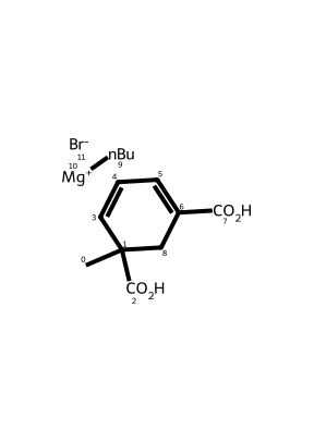 CC1(C(=O)O)C=CC=C(C(=O)O)C1.CCC[CH2][Mg+].[Br-]